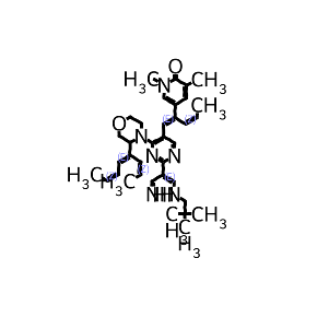 C\C=C/C=C(\C=C/C)C1COCCN1c1nc(/C(C=N)=C/NCC(C)(C)C)ncc1/C=C(\C=C/C)c1cc(C)c(=O)n(C)c1